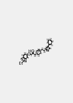 CCc1nc2cc(OC[C@@H](O)CN3CCN(CCn4cc(-c5ccccc5)cn4)CC3)ccc2s1